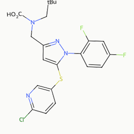 CC(C)(C)CN(Cc1cc(Sc2ccc(Cl)nc2)n(-c2ccc(F)cc2F)n1)C(=O)O